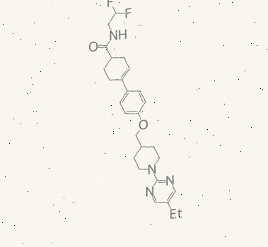 CCc1cnc(N2CCC(COc3ccc(C4=CCC(C(=O)NCC(F)F)CC4)cc3)CC2)nc1